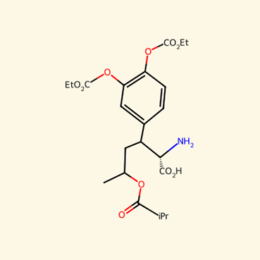 CCOC(=O)Oc1ccc(C(CC(C)OC(=O)C(C)C)[C@H](N)C(=O)O)cc1OC(=O)OCC